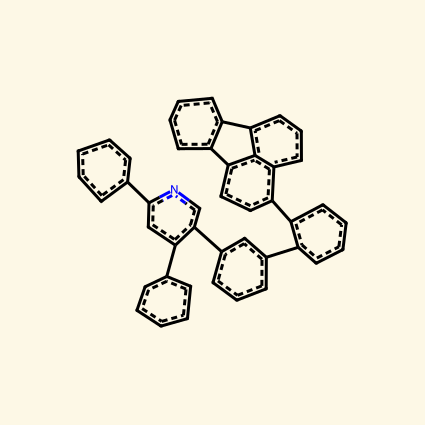 c1ccc(-c2cc(-c3ccccc3)c(-c3cccc(-c4ccccc4-c4ccc5c6c(cccc46)-c4ccccc4-5)c3)cn2)cc1